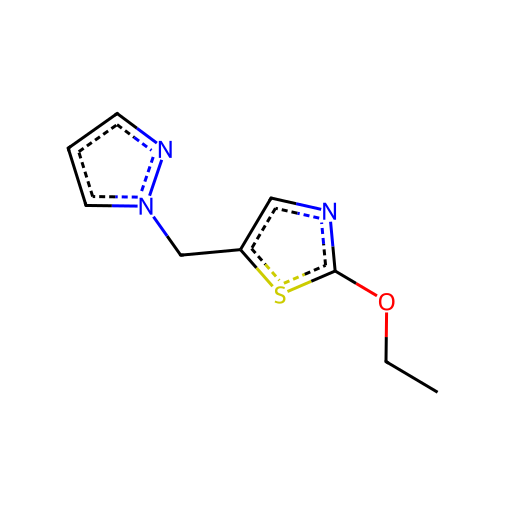 CCOc1ncc(Cn2cccn2)s1